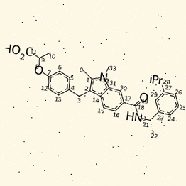 Cc1c(Cc2ccc(OC(C)C(=O)O)cc2)c2ccc(C(=O)N[C@@H](C)c3cccc(C(C)C)c3)cc2n1C